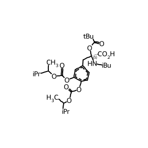 CCC(C)N[C@@](Cc1ccc(OC(=O)OC(C)C(C)C)c(OC(=O)OC(C)C(C)C)c1)(OC(=O)C(C)(C)C)C(=O)O